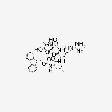 CC(C)CC(NC(=O)OCC1c2ccccc2-c2ccccc21)C(=O)NC(CCCNC(=N)N)C(=O)NC(CO)C(=O)NC(C)C(=O)O